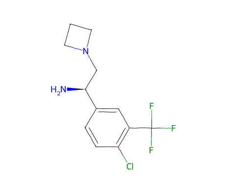 N[C@@H](CN1CCC1)c1ccc(Cl)c(C(F)(F)F)c1